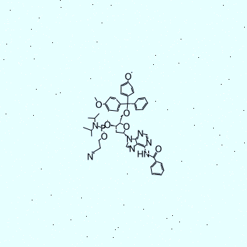 COc1ccc(C(OC[C@H]2O[C@@H](n3cnc4c(NC(=O)c5ccccc5)ncnc43)C[C@H]2OP(OCCC#N)N(C(C)C)C(C)C)(c2ccccc2)c2ccc(OC)cc2)cc1